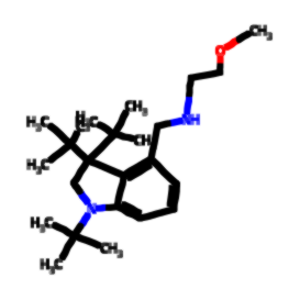 COCCNCc1cccc2c1C(C(C)(C)C)(C(C)(C)C)CN2C(C)(C)C